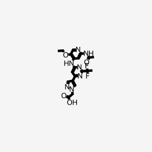 CCOc1cnc(NC(C)=O)cc1Nc1cc(-c2cnn(CC(=O)O)c2)nc(C(C)(F)F)n1